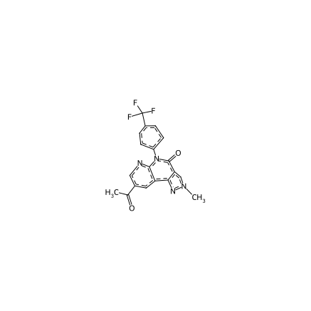 CC(=O)c1cnc2c(c1)c1nn(C)cc1c(=O)n2-c1ccc(C(F)(F)F)cc1